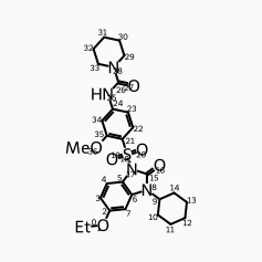 CCOc1ccc2c(c1)n(C1CCCCC1)c(=O)n2S(=O)(=O)c1ccc(NC(=O)N2CCCCC2)cc1OC